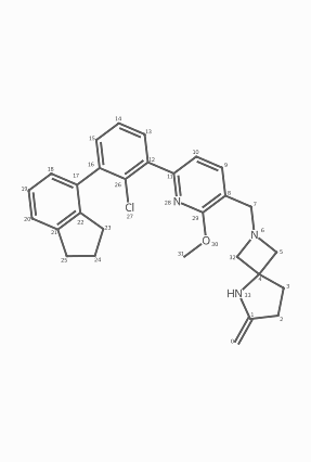 C=C1CCC2(CN(Cc3ccc(-c4cccc(-c5cccc6c5CCC6)c4Cl)nc3OC)C2)N1